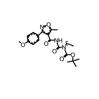 COc1ccc(-c2noc(C)c2C(=O)NC(=O)N(SC)C(=O)OC(C)(C)C)cc1